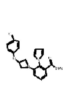 COC(=O)c1cccc(N2CC(Oc3ccc(Cl)cc3)C2)c1-n1cccc1